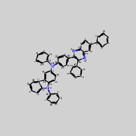 c1ccc(-c2ccc3nc(-c4ccc(N(c5ccccc5)c5ccc6c(c5)c5ccccc5n6-c5ccccc5)cc4)c(-c4ccccc4)nc3c2)cc1